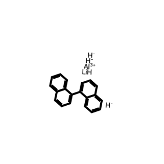 [Al+3].[H-].[H-].[H-].[LiH].c1ccc2c(-c3cccc4ccccc34)cccc2c1